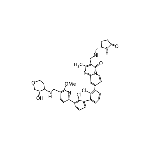 COc1nc(-c2cccc(-c3cccc(-c4ccn5c(=O)c(CNC[C@@H]6CCC(=O)N6)c(C)nc5c4)c3Cl)c2Cl)ccc1CNC1CCOC[C@@H]1O